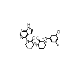 O=C1[C@H](N2CCC[C@@H](Nc3cc(F)cc(Cl)c3)C2=O)CCCN1c1ncnc2[nH]ccc12